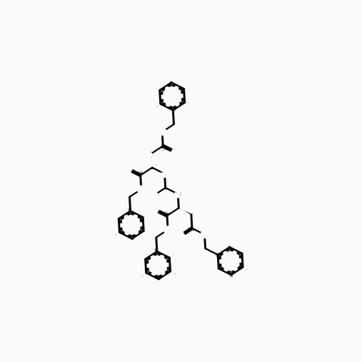 O=C(C[C@H](NC(O)N[C@@H](CC(=O)OCc1ccccc1)C(=O)OCc1ccccc1)C(=O)OCc1ccccc1)OCc1ccccc1